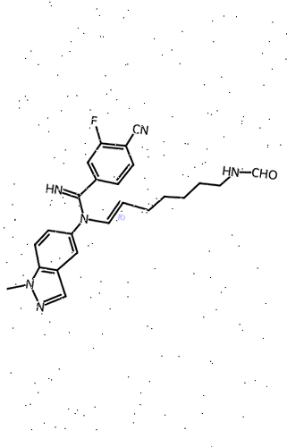 Cn1ncc2cc(N(/C=C/CCCCCNC=O)C(=N)c3ccc(C#N)c(F)c3)ccc21